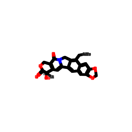 CC[C@@]1(O)C(=O)OCc2c1cc1n(c2=O)Cc2c-1cc1cc3c(cc1c2CNC)OCO3